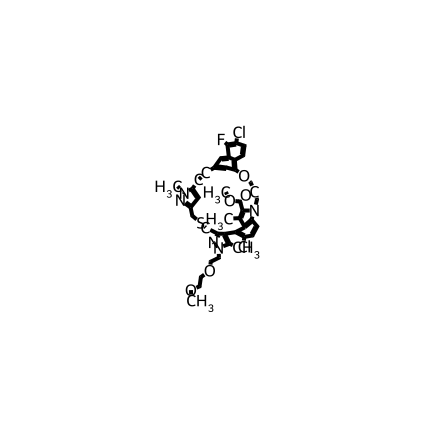 COCCOCCn1nc2c(c1C)-c1c(Cl)ccc3c1c(C)c(C(=O)OC)n3CCCOc1cc(cc3c(F)c(Cl)ccc13)CCc1cc(nn1C)CSC2